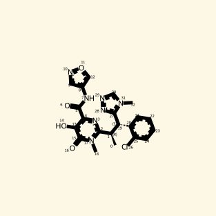 C[C@@H](c1nc(C(=O)Nc2cnoc2)c(O)c(=O)n1C)[C@@H](c1ccccc1Cl)c1nncn1C